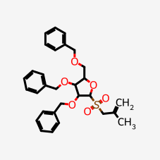 C=C(C)CS(=O)(=O)C1OC(COCc2ccccc2)C(OCc2ccccc2)C1OCc1ccccc1